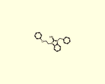 N=c1n(CCOc2ccccc2)c2ccccc2n1Cc1ccccc1